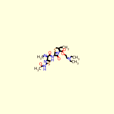 C=CC1=C(C(=O)OCCN(CC)CC)N2C(=O)[C@@H](NC(=O)/C(=N/C)c3csc(NC(C)=O)n3)C2SC1